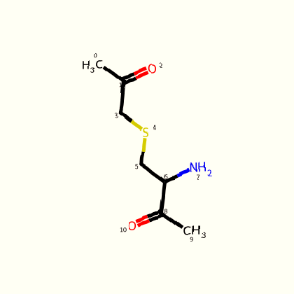 CC(=O)CSCC(N)C(C)=O